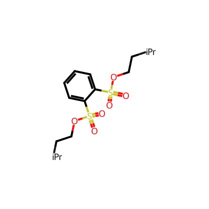 CC(C)CCOS(=O)(=O)c1ccccc1S(=O)(=O)OCCC(C)C